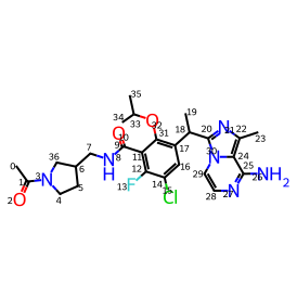 CC(=O)N1CCC(CNC(=O)c2c(F)c(Cl)cc(C(C)c3nc(C)c4c(N)nccn34)c2OC(C)C)C1